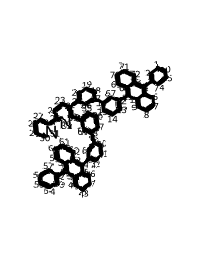 c1ccc(-c2c3ccccc3c(-c3cccc(-c4cccc(-c5ccc(-c6ccccn6)nc5-c5cccc(-c6cccc(-c7c8ccccc8c(-c8ccccc8)c8ccccc78)c6)c5)c4)c3)c3ccccc23)cc1